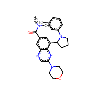 COc1cccc(N2CCCC2c2cc(C(=O)N(C)C)cc3ncc(N4CCOCC4)nc23)c1